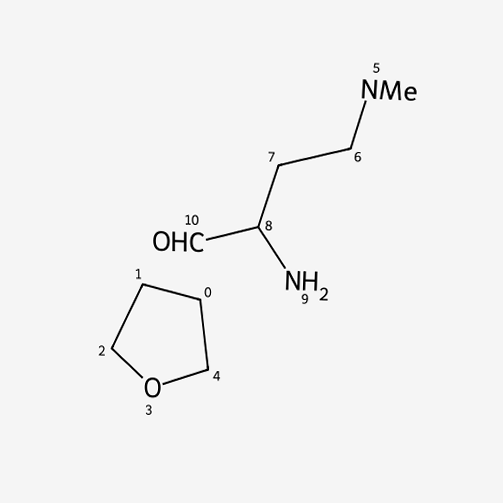 C1CCOC1.CNCCC(N)C=O